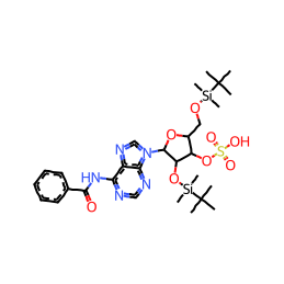 CC(C)(C)[Si](C)(C)OCC1OC(n2cnc3c(NC(=O)c4ccccc4)ncnc32)C(O[Si](C)(C)C(C)(C)C)C1OS(=O)(=O)O